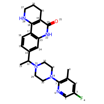 Cc1cc(F)cnc1N1CCN(C(C)c2ccc3c4c(c(=O)[nH]c3c2)CCCN4)CC1